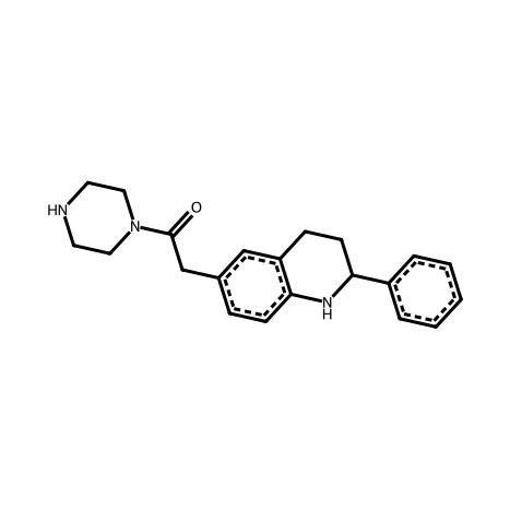 O=C(Cc1ccc2c(c1)CCC(c1ccccc1)N2)N1CCNCC1